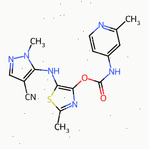 Cc1cc(NC(=O)Oc2nc(C)sc2Nc2c(C#N)cnn2C)ccn1